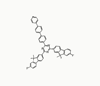 CC1(C)c2cc(F)ccc2-c2ccc(-c3nc(-c4ccc(-c5ccc(-c6ccccc6)cc5)cc4)nc(-c4ccc5c(c4)C(C)(C)c4cc(F)ccc4-5)n3)cc21